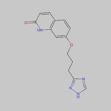 O=c1ccc2ccc(OCCCc3nc[nH]n3)cc2[nH]1